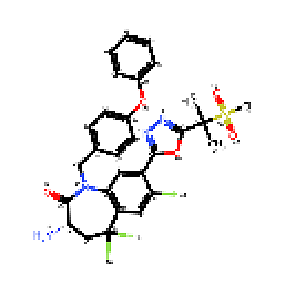 CC(C)(c1nnc(-c2cc3c(cc2F)C(F)(F)C[C@H](N)C(=O)N3Cc2ccc(Oc3ccccc3)cc2)o1)S(C)(=O)=O